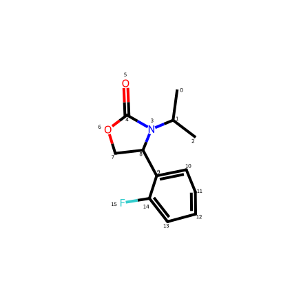 CC(C)N1C(=O)OCC1c1ccccc1F